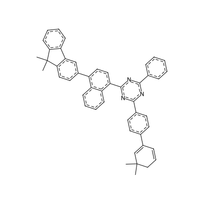 CC1(C)C=C(c2ccc(-c3nc(-c4ccccc4)nc(-c4ccc(-c5ccc6c(c5)-c5ccccc5C6(C)C)c5ccccc45)n3)cc2)C=CC1